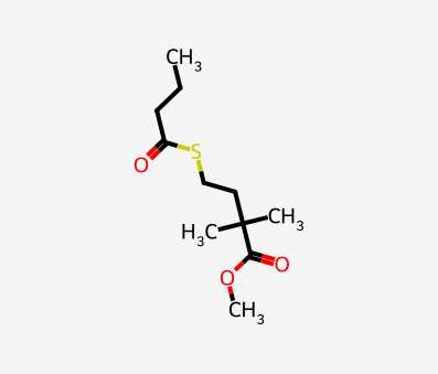 CCCC(=O)SCCC(C)(C)C(=O)OC